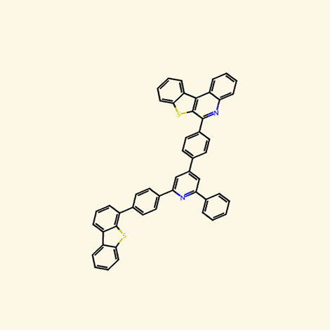 c1ccc(-c2cc(-c3ccc(-c4nc5ccccc5c5c4sc4ccccc45)cc3)cc(-c3ccc(-c4cccc5c4sc4ccccc45)cc3)n2)cc1